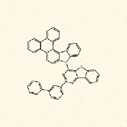 c1ccc(-c2cccc(-c3nc(-n4c5ccccc5c5c6c7ccccc7c7ccccc7c6ccc54)c4sc5ccccc5c4n3)c2)cc1